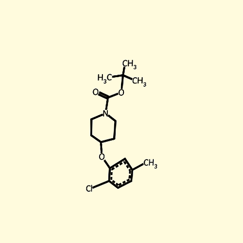 Cc1ccc(Cl)c(OC2CCN(C(=O)OC(C)(C)C)CC2)c1